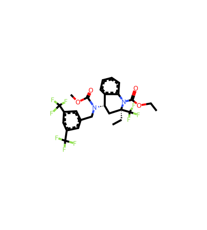 CCOC(=O)N1c2ccccc2[C@@H](N(Cc2cc(C(F)(F)F)cc(C(F)(F)F)c2)C(=O)OC)C[C@]1(CC)C(F)(F)F